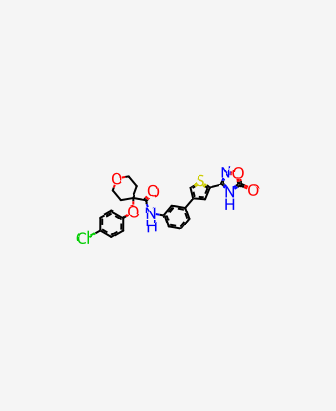 O=C(Nc1cccc(-c2csc(-c3noc(=O)[nH]3)c2)c1)C1(Oc2ccc(Cl)cc2)CCOCC1